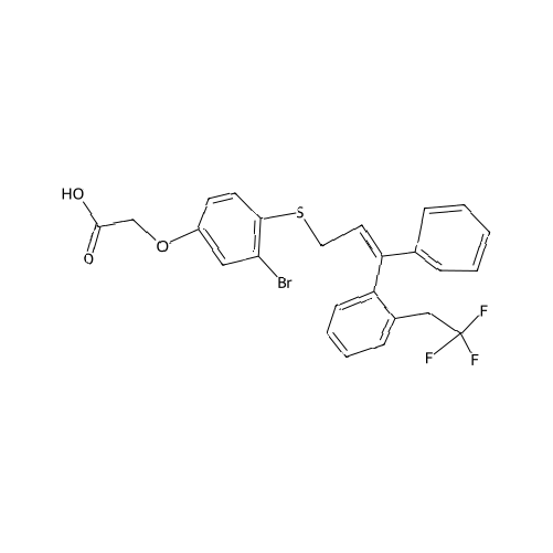 O=C(O)COc1ccc(SCC=C(c2ccccc2)c2ccccc2CC(F)(F)F)c(Br)c1